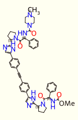 COC(=O)N[C@@H](C(=O)N1CCC[C@H]1c1ncc(-c2ccc(C#Cc3ccc(-c4cnc([C@@H]5CCCN5C(=O)[C@H](NC(=O)N5CCN(C)CC5)c5ccccc5)[nH]4)cc3)cc2)[nH]1)c1ccccc1